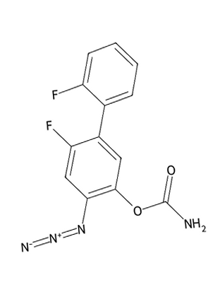 [N-]=[N+]=Nc1cc(F)c(-c2ccccc2F)cc1OC(N)=O